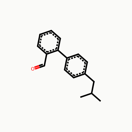 CC(C)Cc1ccc(-c2ccccc2C=O)cc1